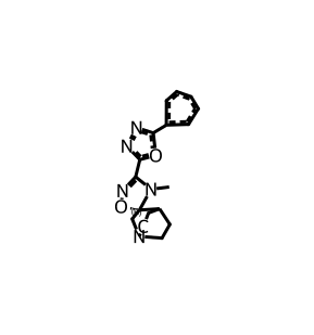 CN1C(c2nnc(-c3ccccc3)o2)=NO[C@]12CN1CCC2CC1